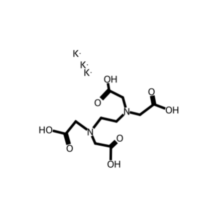 O=C(O)CN(CCN(CC(=O)O)CC(=O)O)CC(=O)O.[K].[K].[K]